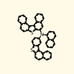 c1ccc2c(N(c3ccc4sc5ccc6ccccc6c5c4c3)c3cc4ccccc4c4c3sc3ccc5ccccc5c34)cccc2c1